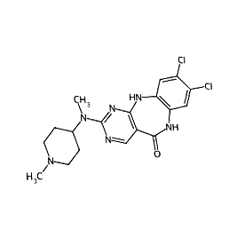 CN1CCC(N(C)c2ncc3c(n2)Nc2cc(Cl)c(Cl)cc2NC3=O)CC1